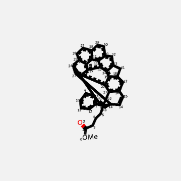 COC(=O)CCCC1(c2ccccc2)C23C=Cc4cc5c6c7c4C21c1c(c2ccc4ccc8cc(c6c6c8c4c2c6c17)C5)C=C3